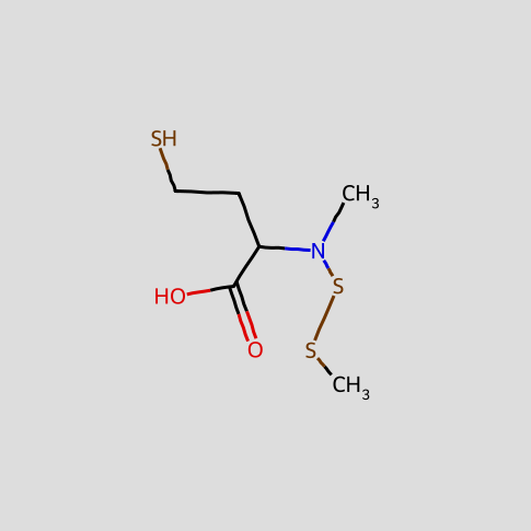 CSSN(C)C(CCS)C(=O)O